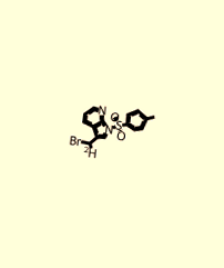 [2H]C(Br)c1cn(S(=O)(=O)c2ccc(C)cc2)c2ncccc12